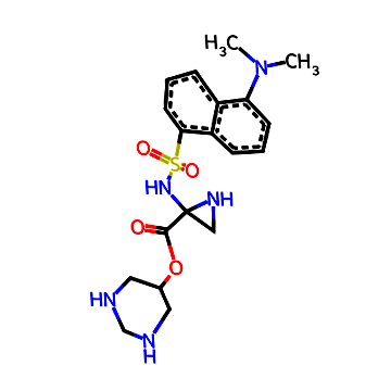 CN(C)c1cccc2c(S(=O)(=O)NC3(C(=O)OC4CNCNC4)CN3)cccc12